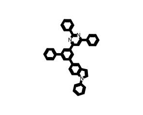 c1ccc(-c2cc(-c3ccc4c(ccn4-c4ccccc4)c3)cc(-c3cc(-c4ccccc4)nc(-c4ccccc4)n3)c2)cc1